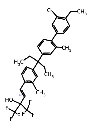 CCc1ccc(-c2ccc(C(CC)(CC)c3ccc(/C=C/C(O)(C(F)(F)F)C(F)(F)F)c(C)c3)cc2C)cc1Cl